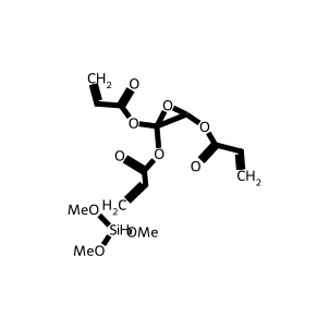 C=CC(=O)OC1OC1(OC(=O)C=C)OC(=O)C=C.CO[SiH](OC)OC